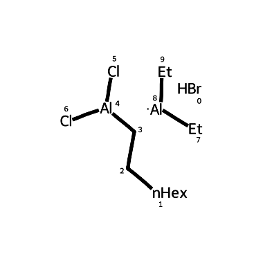 Br.CCCCCCC[CH2][Al]([Cl])[Cl].C[CH2][Al][CH2]C